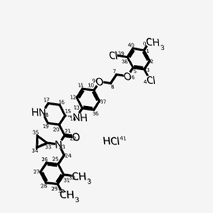 Cc1cc(Cl)c(OCCOc2ccc(N[C@H]3CCNCC3C(=O)N(Cc3cccc(C)c3C)C3CC3)cc2)c(Cl)c1.Cl